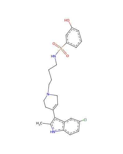 Cc1[nH]c2ccc(Cl)cc2c1C1=CCN(CCCCNS(=O)(=O)c2cccc(O)c2)CC1